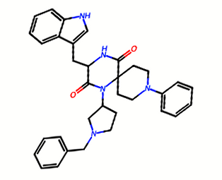 O=C1C(Cc2c[nH]c3ccccc23)NC(=O)C2(CCN(c3ccccc3)CC2)N1C1CCN(Cc2ccccc2)C1